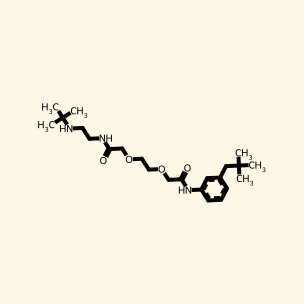 CC(C)(C)Cc1cccc(NC(=O)COCCOCC(=O)NCCNC(C)(C)C)c1